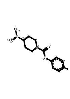 Cc1ccc(OC(=O)N2CCC(N(C)C)CC2)cc1